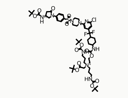 CC(C)(C)OC(=O)C[N+](CCCNC(=O)OC(C)(C)C)(CCCNC(=O)OC(C)(C)C)CCOC(=O)NC1CCC(C(F)(F)c2cc(Cl)nc(N3CCN(S(=O)(=O)c4ccc(N5C[C@H](NC(=O)OC(C)(C)C)CC5=O)cc4)CC3)c2)CC1